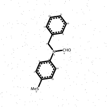 CSc1ccc(N(C=O)Cc2ccccc2)cc1